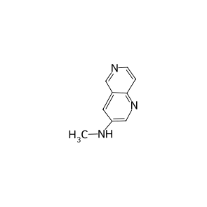 CNc1cnc2ccncc2c1